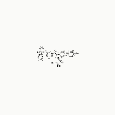 Cc1nc2cnccc2n1Cc1cccc(C(=O)c2cn(C(=O)N(C)C)c3cc(-c4ccc(F)cc4)ccc23)c1